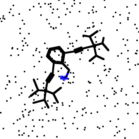 CC(C)[Si](C#Cc1cccc(C#C[Si](C(C)C)(C(C)C)C(C)C)c1CN)(C(C)C)C(C)C